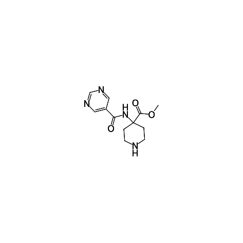 COC(=O)C1(NC(=O)c2cncnc2)CCNCC1